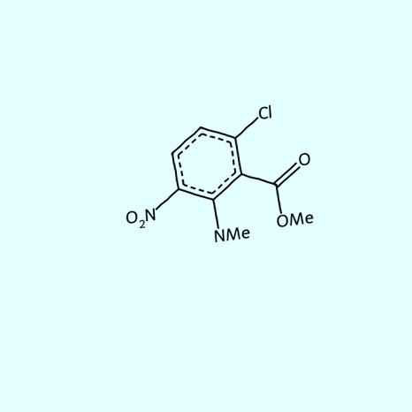 CNc1c([N+](=O)[O-])ccc(Cl)c1C(=O)OC